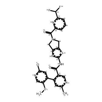 COc1cnc(Cl)cc1-c1cc(C)ncc1C(=O)Nc1nc2c(s1)CN(C(=O)c1cccc(C(F)F)n1)C2